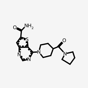 NC(=O)c1cc2ncnc(N3CCC(C(=O)N4CCCC4)CC3)c2s1